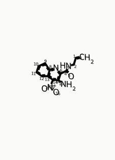 C=CCNC(=O)c1nc2ccccc2c([N+](=O)[O-])c1N